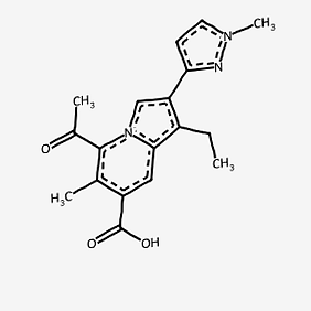 CCc1c(-c2ccn(C)n2)cn2c(C(C)=O)c(C)c(C(=O)O)cc12